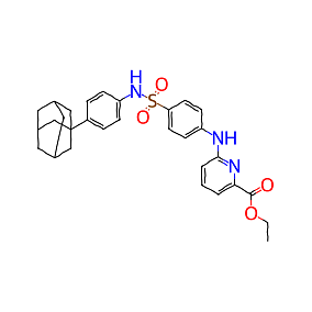 CCOC(=O)c1cccc(Nc2ccc(S(=O)(=O)Nc3ccc(C45CC6CC(CC(C6)C4)C5)cc3)cc2)n1